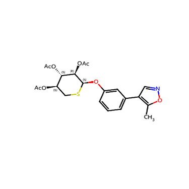 CC(=O)O[C@@H]1[C@@H](OC(C)=O)[C@@H](Oc2cccc(-c3cnoc3C)c2)SC[C@H]1OC(C)=O